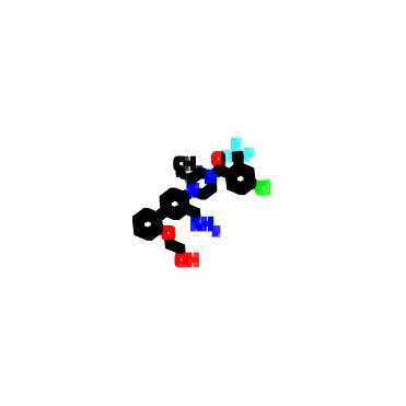 CC[C@@H]1CN(C(=O)c2ccc(Cl)cc2C(F)(F)F)CCN1c1ccc(-c2ccccc2OCCO)cc1CN